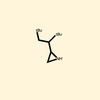 CC(C)(C)CC(C1CN1)C(C)(C)C